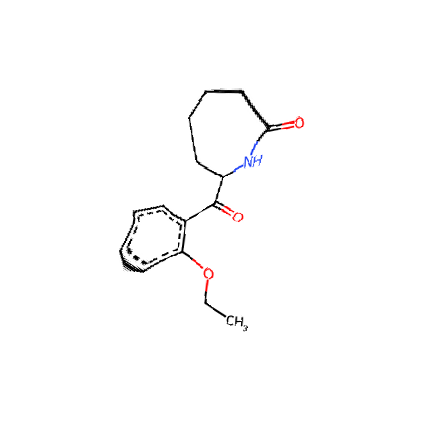 CCOc1ccccc1C(=O)C1CCCCC(=O)N1